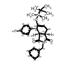 CC(C)(C)[Si](C)(C)OC1=CC[C@@H]2C(=O)N(Cc3ccccc3)C(=O)[C@@H]2[C@H]1c1ccc(F)cc1